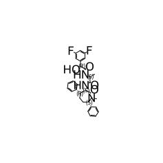 C[C@H](NC(=O)[C@H](O)c1cc(F)cc(F)c1)C(=O)N[C@@H]1C(=O)N(C)[C@H](c2ccccc2)CC[C@@H]1c1ccccc1